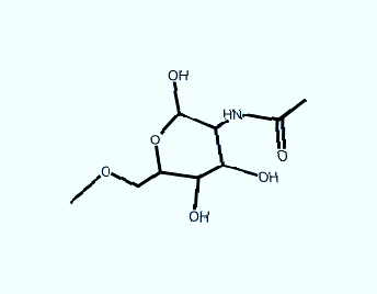 COCC1OC(O)C(NC(C)=O)C(O)C1O